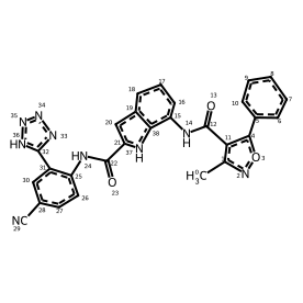 Cc1noc(-c2ccccc2)c1C(=O)Nc1cccc2cc(C(=O)Nc3ccc(C#N)cc3-c3nnn[nH]3)[nH]c12